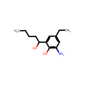 CCCCC(O)c1cc(CC)cc(N)c1O